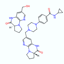 O=C(NC1CC1)c1ccc(N2CCN(Cc3cnc4c(c3)NC(=O)[C@@H]3CCCN43)CC2)cc1.O=C1Nc2cc(CO)cnc2N2CCC[C@@H]12